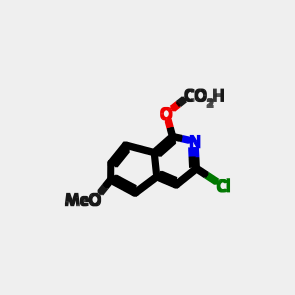 COc1ccc2c(OC(=O)O)nc(Cl)cc2c1